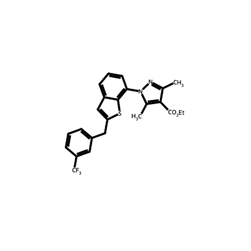 CCOC(=O)c1c(C)nn(-c2cccc3cc(Cc4cccc(C(F)(F)F)c4)sc23)c1C